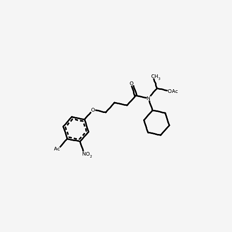 CC(=O)OC(C)N(C(=O)CCCOc1ccc(C(C)=O)c([N+](=O)[O-])c1)C1CCCCC1